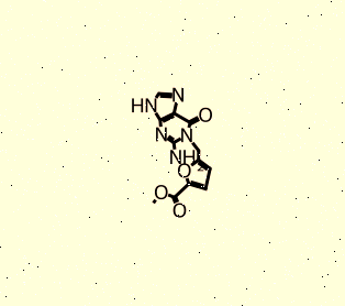 COC(=O)c1ccc(Cn2c(N)nc3[nH]cnc3c2=O)o1